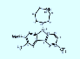 CSc1cc2c(cc1C(F)(F)F)c1cc(C(F)(F)F)ccc1n2[C@@H]1CCCNCC1